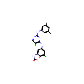 COc1cc(C)cc(Nc2ncc(F)c(Nc3cc(F)c4oc(=O)[nH]c4c3)n2)c1